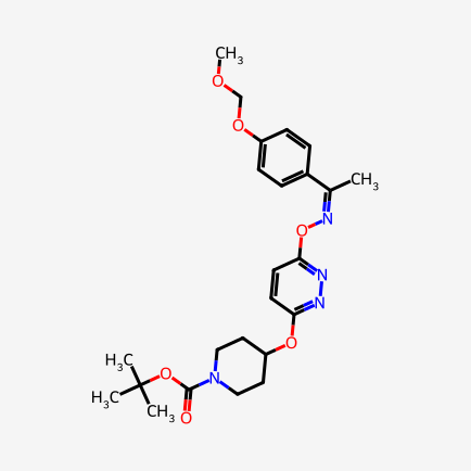 COCOc1ccc(/C(C)=N\Oc2ccc(OC3CCN(C(=O)OC(C)(C)C)CC3)nn2)cc1